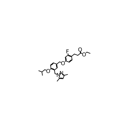 CCOC(=O)CCc1ccc(OCc2ccc(OCC(C)C)c(Cn3nc(C)cc3C)c2)cc1F